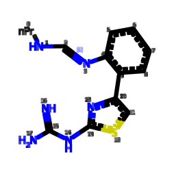 CCCN/C=N/c1ccccc1-c1csc(NC(=N)N)n1